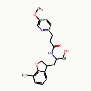 COc1ccc(CCC(=O)NC(BO)CC2COc3c(C)cccc32)nc1